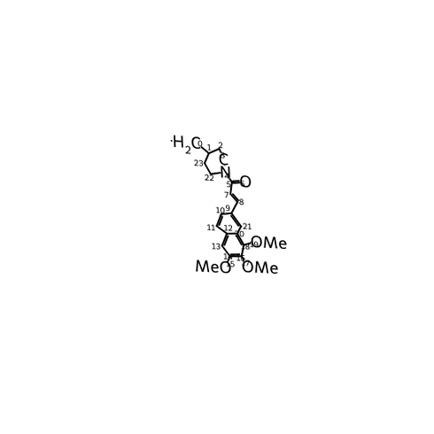 [CH2]C1CCN(C(=O)/C=C/c2ccc3cc(OC)c(OC)c(OC)c3c2)CC1